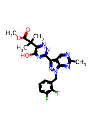 COC(=O)C(C)(C)c1nnc(-c2nn(Cc3cccc(F)c3F)c3nc(C)ncc23)nc1O